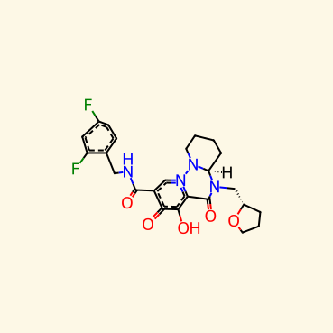 O=C(NCc1ccc(F)cc1F)c1cn2c(c(O)c1=O)C(=O)N(C[C@@H]1CCCO1)[C@@H]1CCCCN12